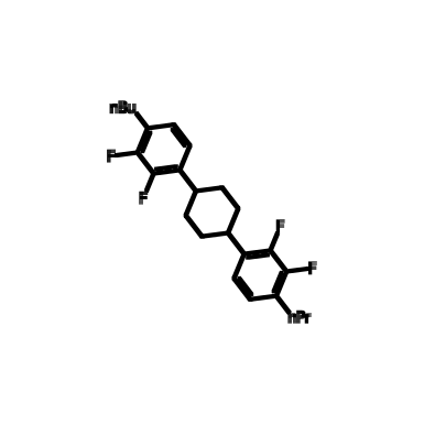 CCCCc1ccc(C2CCC(c3ccc(CCC)c(F)c3F)CC2)c(F)c1F